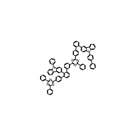 c1ccc(-c2ccc(-n3c4ccccc4c4cc(-c5ccccc5-c5ccc(-c6nc(-c7ccccc7)nc(-c7cccc(-c8cccc(-c9ccc(-c%10nc(-c%11ccccc%11)nc(-c%11ccccc%11)n%10)cc9)c8-c8ccc9c(c8)c8ccccc8n9-c8ccccc8)c7)n6)cc5)ccc43)cc2)cc1